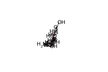 CC(C)(COP(=O)(O)OP(=O)(O)OC[C@H]1O[C@@H](n2cnc3c(N)ncnc32)[C@H](O)[C@@H]1OP(=O)(O)O)[C@@H](O)C(=O)NCCC(=O)NCCSC(=O)CCCCCCO